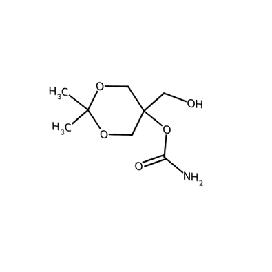 CC1(C)OCC(CO)(OC(N)=O)CO1